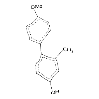 COc1ccc(-c2ccc(O)cc2C)cc1